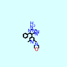 Cc1cc(-c2c(-c3ccccc3)nc(N)n3cnnc23)cc(CN2CCOCC2)n1